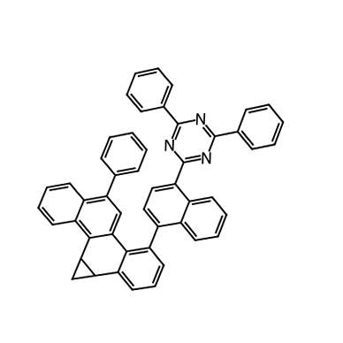 c1ccc(-c2nc(-c3ccccc3)nc(-c3ccc(-c4cccc5c4-c4cc(-c6ccccc6)c6ccccc6c4C4CC54)c4ccccc34)n2)cc1